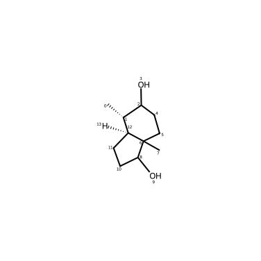 C[C@@H]1C(O)CCC2(C)C(O)CC[C@@H]12